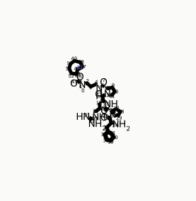 CN(CCCNC(=O)[C@@H]1CCCN1C(=O)[C@H](CCCNC(=N)N)NC(=O)[C@@H]1CCCN1C(=O)[C@H](N)Cc1ccccc1)C(=O)O[C@@H]1/C=C/CCCCC1